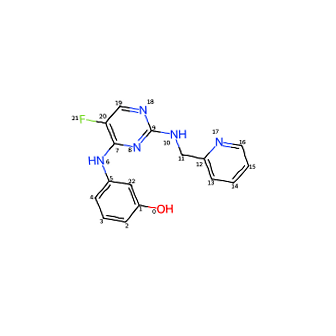 Oc1cccc(Nc2nc(NCc3ccccn3)ncc2F)c1